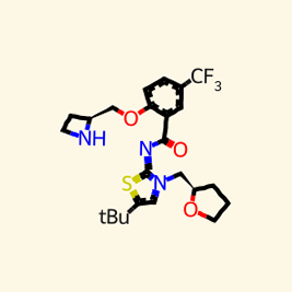 CC(C)(C)c1cn(C[C@H]2CCCO2)c(=NC(=O)c2cc(C(F)(F)F)ccc2OC[C@@H]2CCN2)s1